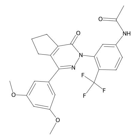 COc1cc(OC)cc(-c2nn(-c3cc(NC(C)=O)ccc3C(F)(F)F)c(=O)c3c2CCC3)c1